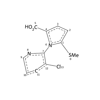 CSc1ccc(C(=O)O)n1-c1ncccc1Cl